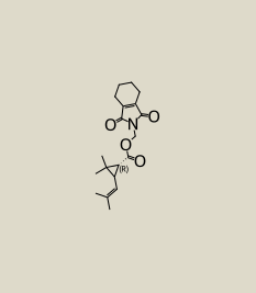 CC(C)=CC1[C@@H](C(=O)OCN2C(=O)C3=C(CCCC3)C2=O)C1(C)C